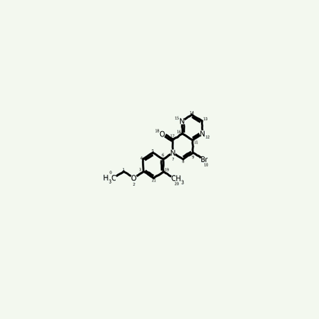 CCOc1ccc(-n2cc(Br)c3nccnc3c2=O)c(C)c1